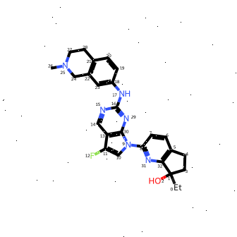 CCC1(O)CCc2ccc(-n3cc(F)c4cnc(Nc5ccc6c(c5)CN(C)CC6)nc43)nc21